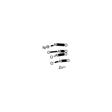 [Ni+2].[O]=[Al][O-].[O]=[Al][O-].[O]=[Al][O-].[O]=[Al][O-].[Zn+2]